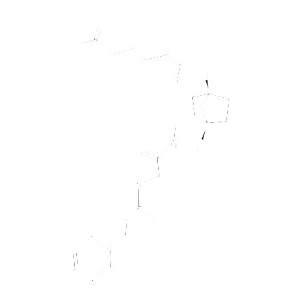 O=C(O)CCC/C=C\C[C@@H]1[C@@H]2CC[C@@H](C2)[C@@H]1CNC(=O)CNC(=O)CSc1ccccc1